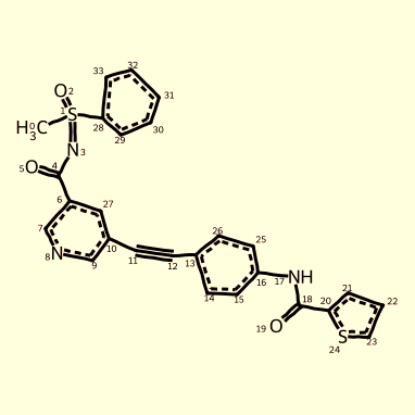 CS(=O)(=NC(=O)c1cncc(C#Cc2ccc(NC(=O)c3cccs3)cc2)c1)c1ccccc1